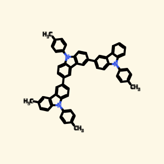 Cc1ccc(-n2c3ccccc3c3cc(-c4ccc5c(c4)c4cc(-c6ccc7c(c6)c6cc(C)ccc6n7-c6ccc(C)cc6)ccc4n5-c4ccc(C)cc4)ccc32)cc1